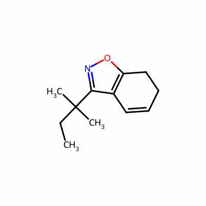 CCC(C)(C)c1noc2c1C=CCC2